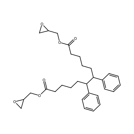 O=C(CCCCC(c1ccccc1)C(CCCCC(=O)OCC1CO1)c1ccccc1)OCC1CO1